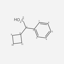 O=C(O)C(c1cc[c]cc1)C1CCC1